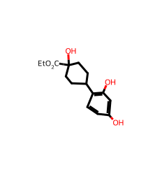 CCOC(=O)C1(O)CCC(c2ccc(O)cc2O)CC1